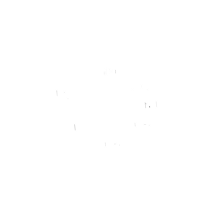 CCCCc1c(Cl)c(C(=O)O)c(CCCC)c(CCCC)c1CCCC.N